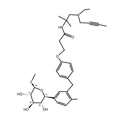 CC#CCN(CC)CC(C)(C)NC(=O)CCOc1ccc(Cc2cc([C@@H]3O[C@H](SC)[C@@H](O)[C@H](O)[C@H]3O)ccc2C)cc1